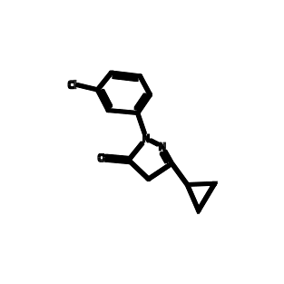 O=C1CC(C2CC2)=NN1c1cccc(Cl)c1